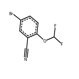 N#Cc1cc(Br)ccc1OC(F)F